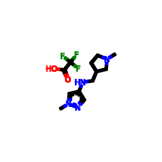 CN1CCC(CNc2cnn(C)c2)C1.O=C(O)C(F)(F)F